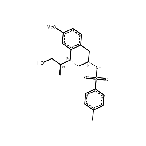 COc1ccc2c(c1)[C@@H]([C@@H](C)CO)C[C@@H](NS(=O)(=O)c1ccc(C)cc1)C2